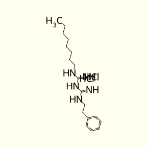 CCCCCCCCNC(=N)NC(=N)NCCc1ccccc1.Cl.Cl